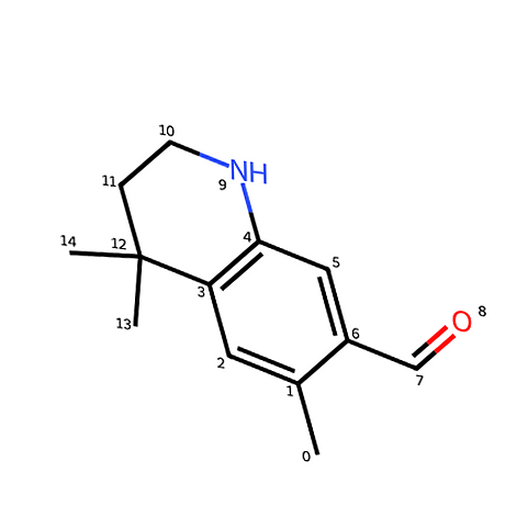 Cc1cc2c(cc1C=O)NCCC2(C)C